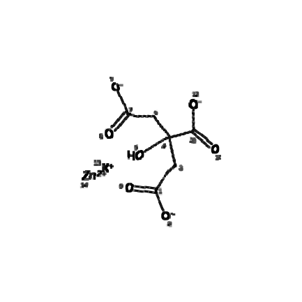 O=C([O-])CC(O)(CC(=O)[O-])C(=O)[O-].[K+].[Zn+2]